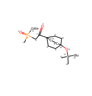 COP(C)(=O)CC(=O)C12CCC(O[Si](C)(C)C(C)(C)C)(CC1)CC2